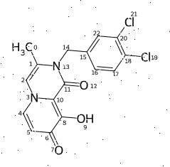 Cc1cn2ccc(=O)c(O)c2c(=O)n1Cc1ccc(Cl)c(Cl)c1